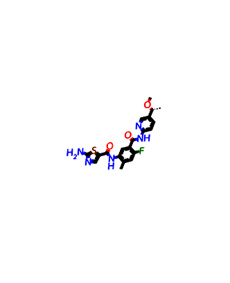 CO[C@H](C)c1ccc(NC(=O)c2cc(NC(=O)c3cnc(N)s3)c(C)cc2F)nc1